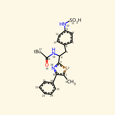 Cc1sc(C(Cc2ccc(NS(=O)(=O)O)cc2)NC(=O)C(C)(C)C)nc1-c1ccccc1